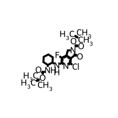 CC(C)(C)OC(=O)NC1CCCCC1Nc1nc(Cl)c2c(c1F)CN(C(=O)OC(C)(C)C)C2=O